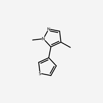 Cc1cnn(C)c1-c1ccsc1